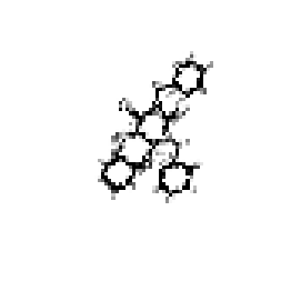 O=c1c2nc3ccccc3nc2n(Cc2ccccc2)c(=O)n1Cc1ccccc1